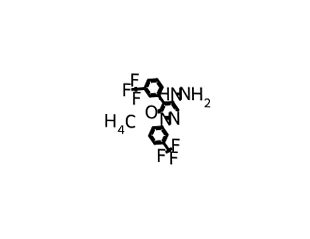 C.NNc1cnn(-c2cccc(C(F)(F)F)c2)c(=O)c1-c1cccc(C(F)(F)F)c1